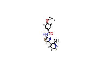 COc1ccc(C(=O)Nc2nc(-c3cccnc3C)cs2)cc1